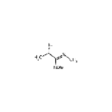 CC[C@@H](C)/C(=N/C)NC